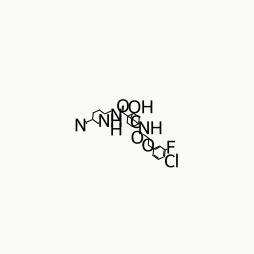 N#CC1CCC(CNC(=O)C23CCC(NC(=O)COc4ccc(Cl)c(F)c4)(CC2)CC3O)NC1